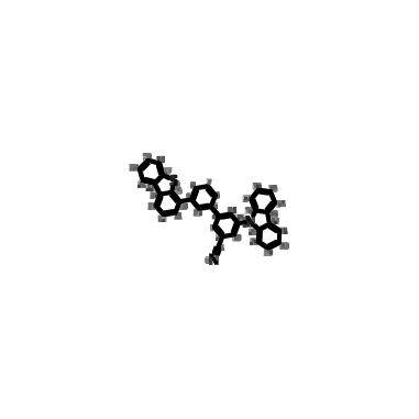 N#Cc1cc(-c2cccc(-c3cccc4c3sc3ccccc34)c2)cc(-n2c3ccccc3c3ccccc32)c1